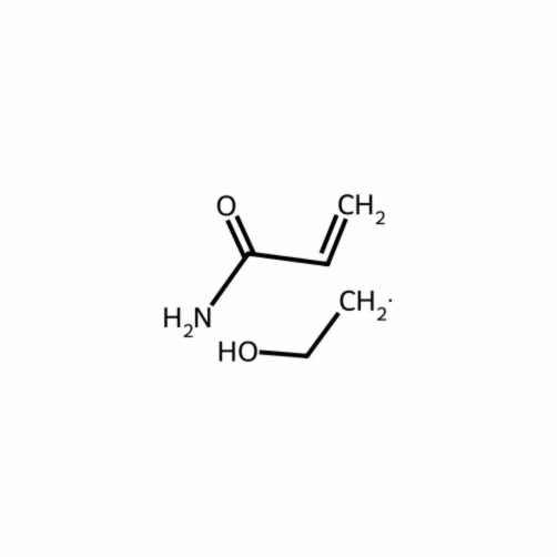 C=CC(N)=O.[CH2]CO